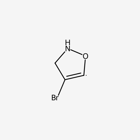 BrC1=[C]ONC1